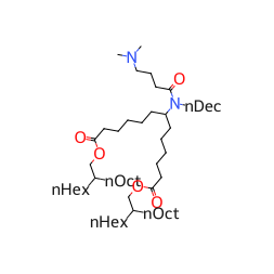 CCCCCCCCCCN(C(=O)CCCN(C)C)C(CCCCCC(=O)OCC(CCCCCC)CCCCCCCC)CCCCCC(=O)OCC(CCCCCC)CCCCCCCC